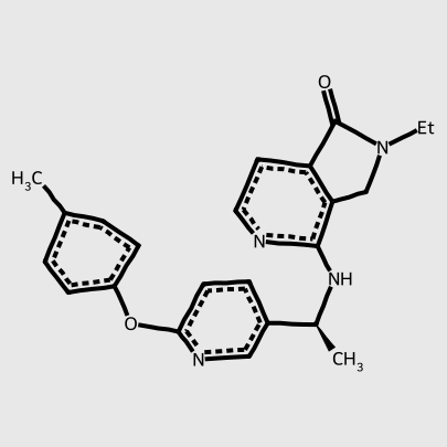 CCN1Cc2c(ccnc2N[C@@H](C)c2ccc(Oc3ccc(C)cc3)nc2)C1=O